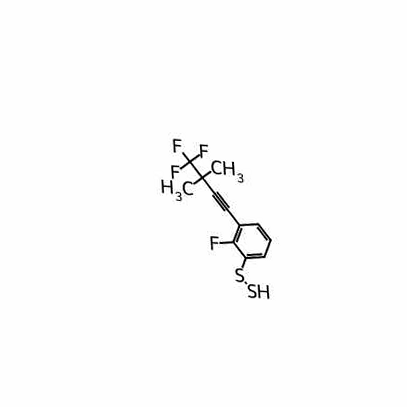 CC(C)(C#Cc1cccc(SS)c1F)C(F)(F)F